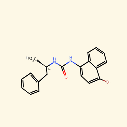 O=C(Nc1ccc(Br)c2ccccc12)N[C@@H](Cc1ccccc1)C(=O)O